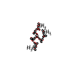 CC1(C)c2ccccc2-c2ccc(-n3c4ccccc4c4cc(-c5ccc6c7ccccc7n(-c7ccc(-c8cc(-c9ccc(-n%10c%11ccccc%11c%11ccc(-c%12ccc%13c(c%12)c%12ccccc%12n%13-c%12ccc%13c(c%12)C(C)(C)c%12ccccc%12-%13)cc%11%10)cc9)nc(-c9cccc(-n%10c%11ccccc%11c%11ccc(-c%12ccc%13c(c%12)c%12ccccc%12n%13-c%12ccc%13c(c%12)C(C)(C)c%12ccccc%12-%13)cc%11%10)c9)n8)cc7)c6c5)ccc43)cc21